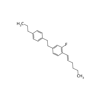 CCCC/C=C/c1ccc(CCc2ccc(CCC)cc2)cc1F